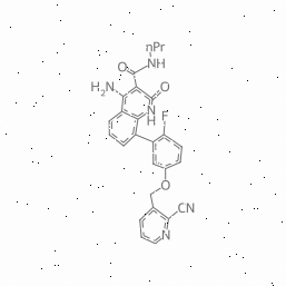 CCCNC(=O)c1c(N)c2cccc(-c3cc(OCc4cccnc4C#N)ccc3F)c2[nH]c1=O